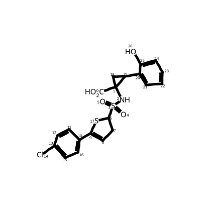 O=C(O)C1(NS(=O)(=O)C2CC=C(c3ccc(Cl)cc3)S2)CC1c1ccccc1O